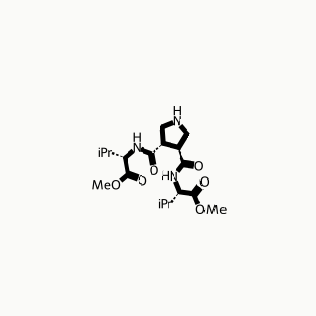 COC(=O)[C@@H](NC(=O)[C@@H]1CNC[C@H]1C(=O)N[C@H](C(=O)OC)C(C)C)C(C)C